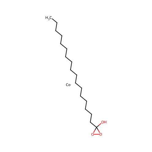 CCCCCCCCCCCCCCCCCC1(O)OO1.[Co]